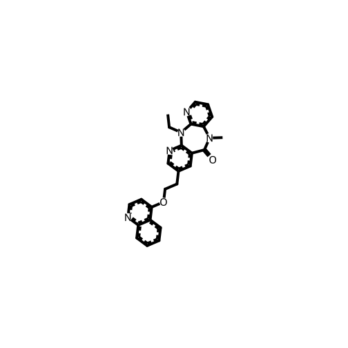 CCN1c2ncc(CCOc3ccnc4ccccc34)cc2C(=O)N(C)c2cccnc21